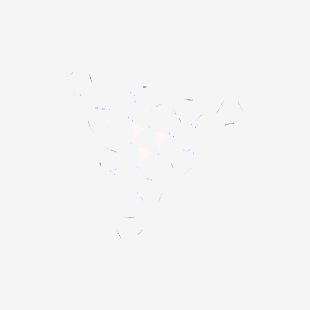 c1ccc(-c2cccc(N3B4N(B5N(B6N4c4cccnc4N6c4cccc(-c6ccccc6)n4)c4cccnc4N5c4cccc(-c5ccccc5)n4)c4cccnc43)n2)cc1